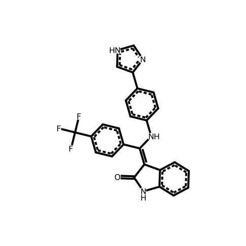 O=C1Nc2ccccc2C1=C(Nc1ccc(-c2c[nH]cn2)cc1)c1ccc(C(F)(F)F)cc1